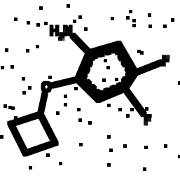 Nc1cc(F)c(F)cc1OC1CCC1